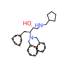 O[C@H](CNCC1CCCC1)[C@H](Cc1ccccc1)N(Cc1ccccc1)Cc1ccccc1